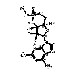 CC(C)O[P@@]1(=S)OC[C@H]2O[C@@H](n3cnc4c(N)nc(N)nc43)C(Cl)(Cl)[C@@H]2O1